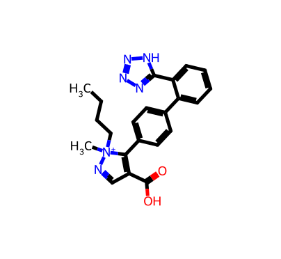 CCCC[N+]1(C)N=CC(C(=O)O)=C1c1ccc(-c2ccccc2-c2nnn[nH]2)cc1